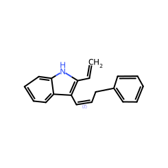 C=Cc1[nH]c2ccccc2c1/C=C\Cc1ccccc1